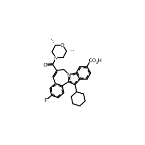 C[C@@H]1CN(C(=O)C2=Cc3cc(F)ccc3-c3c(C4CCCCC4)c4ccc(C(=O)O)cc4n3C2)C[C@H](C)O1